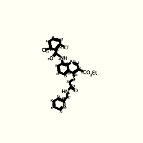 CCOC(=O)c1cnc2c(NC(=O)c3c(Cl)cccc3Cl)cccc2c1SCC(=O)NCc1ccccn1